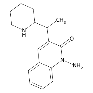 CC(c1cc2ccccc2n(N)c1=O)C1CCCCN1